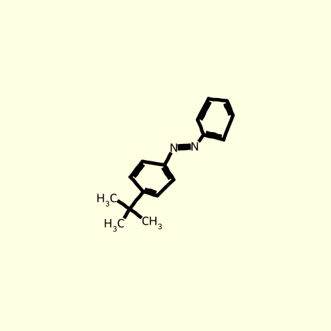 CC(C)(C)c1ccc(/N=N/c2ccccc2)cc1